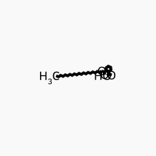 CCCCCCCCCCCCCCCCCCCCOC(=O)C1CC=CCC1C(=O)O